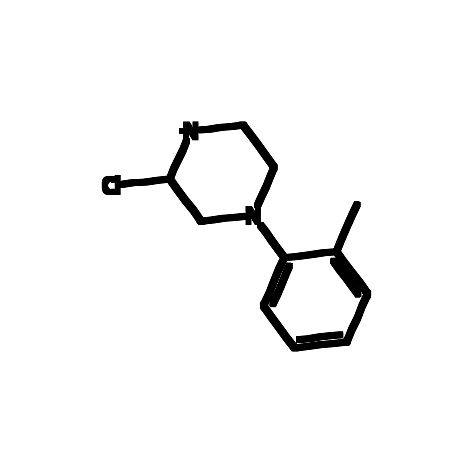 Cc1ccccc1N1CC[N]C(Cl)C1